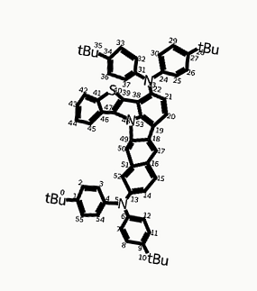 CC(C)(C)c1ccc(N(c2ccc(C(C)(C)C)cc2)c2ccc3cc4c5ccc(N(c6ccc(C(C)(C)C)cc6)c6ccc(C(C)(C)C)cc6)c6c7sc8ccccc8c7n(c4cc3c2)c56)cc1